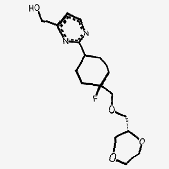 OCc1ccnc(C2CCC(F)(COC[C@H]3COCCO3)CC2)n1